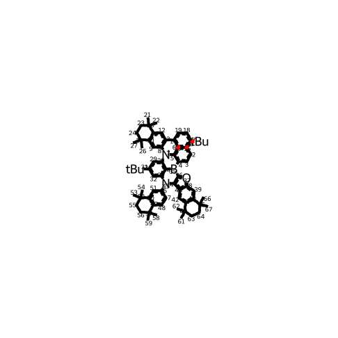 CC(C)(C)c1ccc2c(c1)N(c1cc3c(cc1-c1ccccc1)C(C)(C)CCC3(C)C)c1cc(C(C)(C)C)cc3c1B2c1oc2cc4c(cc2c1N3c1ccc2c(c1)C(C)(C)CCC2(C)C)C(C)(C)CCC4(C)C